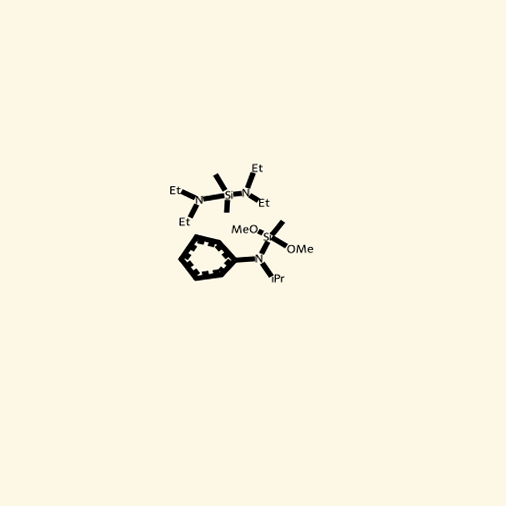 CCN(CC)[Si](C)(C)N(CC)CC.CO[Si](C)(OC)N(c1ccccc1)C(C)C